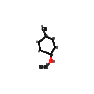 N#CC1CCC(OC=O)CC1